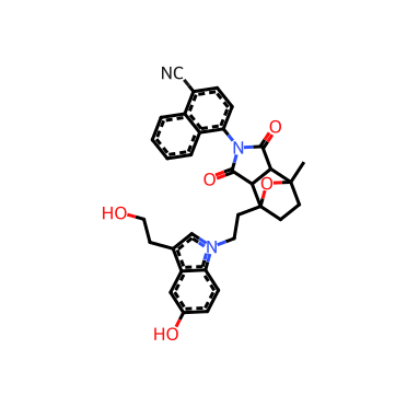 CC12CCC(CCn3cc(CCO)c4cc(O)ccc43)(O1)C1C(=O)N(c3ccc(C#N)c4ccccc34)C(=O)C12